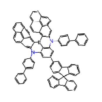 c1ccc(-c2ccc(N3c4cc(-c5ccc6c(c5)-c5ccccc5C65c6ccccc6-c6ccccc65)cc5c4B(c4c3cc3ccc6cccc7ccc4c3c67)c3c(cc4ccc6cccc7ccc3c4c67)N5c3ccc(-c4ccccc4)cc3)cc2)cc1